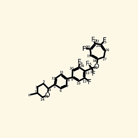 CC1CCC(c2ccc(-c3cc(F)c(C(F)(F)OC4=CC(F)=C(F)C(F)=CC4)c(F)c3)cc2)OC1